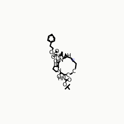 C=C(NS(=O)(=O)OCCc1ccccc1)[C@@]12C[C@H]1/C=C\CCCCC[C@H](NC(=O)OC(C)(C)C)C(=O)N1CCC[C@H]1C(=O)N2